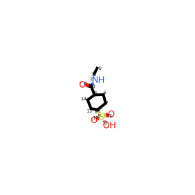 CCNC(=O)C1CCC(S(=O)(=O)O)CC1